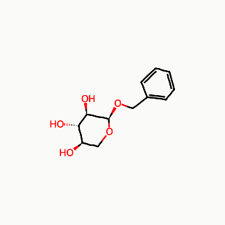 O[C@@H]1[C@@H](O)[C@@H](OCc2ccccc2)OC[C@H]1O